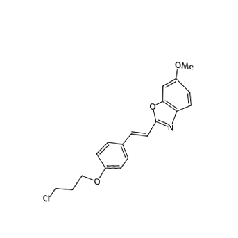 COc1ccc2nc(C=Cc3ccc(OCCCCl)cc3)oc2c1